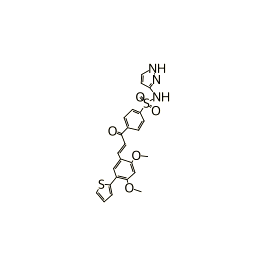 COc1cc(OC)c(-c2cccs2)cc1C=CC(=O)c1ccc(S(=O)(=O)Nc2cc[nH]n2)cc1